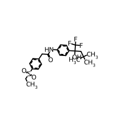 CCS(=O)(=O)c1ccc(CC(=O)Nc2ccc(C(O)(CC(C)(C)C)C(F)(F)F)cc2)cc1